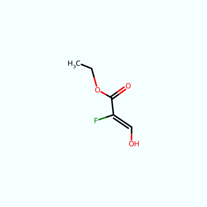 CCOC(=O)C(F)=CO